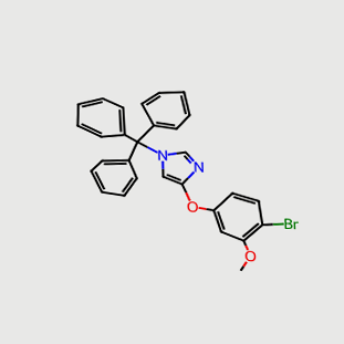 COc1cc(Oc2cn(C(c3ccccc3)(c3ccccc3)c3ccccc3)cn2)ccc1Br